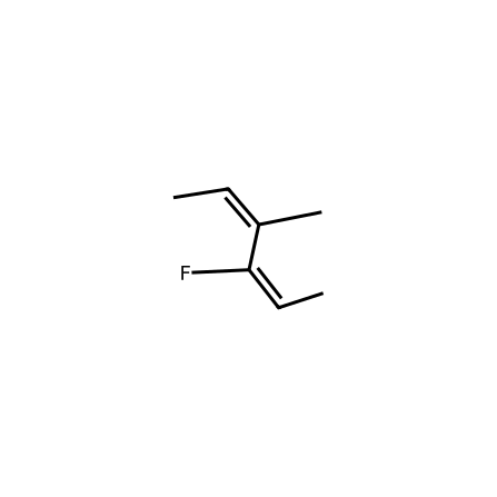 C/C=C(C)\C(F)=C/C